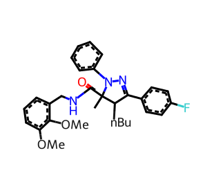 CCCCC1C(c2ccc(F)cc2)=NN(c2ccccc2)C1(C)C(=O)NCc1cccc(OC)c1OC